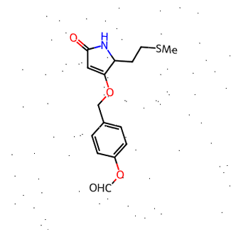 CSCCC1NC(=O)C=C1OCc1ccc(OC=O)cc1